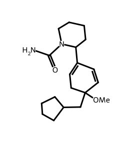 COC1(CC2CCCC2)C=CC(C2CCCCN2C(N)=O)=CC1